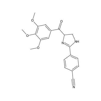 COc1cc(C(=O)C2CNC(c3ccc(C#N)cc3)=N2)cc(OC)c1OC